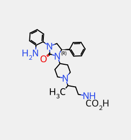 CC(CCNC(=O)O)N1CCC(N2C(=O)N(c3ccccc3N)C[C@H]2c2ccccc2)CC1